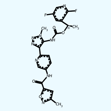 Cc1cc(C(=O)Nc2ccc(-c3nnn(C)c3NC(=O)O[C@H](C)c3cc(F)cnc3F)nc2)on1